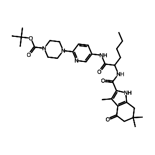 CCCCC(NC(=O)c1[nH]c2c(c1C)C(=O)CC(C)(C)C2)C(=O)Nc1ccc(N2CCN(C(=O)OC(C)(C)C)CC2)nc1